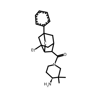 CCC12CC3CC(c4ccccc4)(CC1C3C(=O)N1CC[C@H](N)C(C)(C)C1)C2